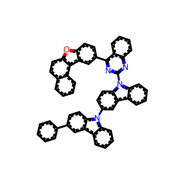 c1ccc(-c2ccc3c(c2)c2ccccc2n3-c2ccc3c(c2)c2ccccc2n3-c2nc(-c3ccc4oc5ccc6ccccc6c5c4c3)c3ccccc3n2)cc1